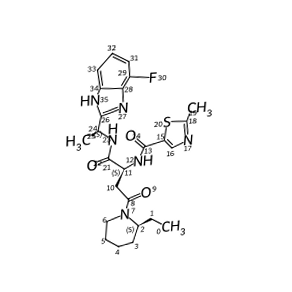 CC[C@H]1CCCCN1C(=O)C[C@H](NC(=O)c1cnc(C)s1)C(=O)N[C@@H](C)c1nc2c(F)cccc2[nH]1